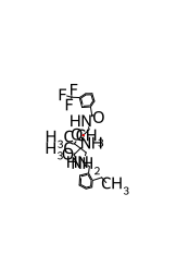 CCc1ccccc1CNCC(NC(=O)CNC(=O)c1cccc(C(F)(F)F)c1)(C(N)=O)C(C)(C)C